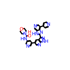 OC(Nc1cncc(-c2cnc3[nH]nc(-c4nc5c(-c6ccncc6)cncc5[nH]4)c3c2)c1)N1CCOCC1